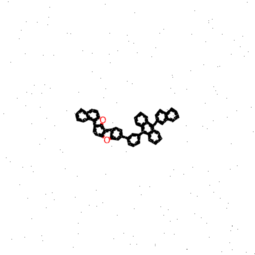 c1cc(-c2ccc3c(c2)oc2ccc4c(oc5ccc6ccccc6c54)c23)cc(-c2c3ccccc3c(-c3ccc4ccccc4c3)c3ccccc23)c1